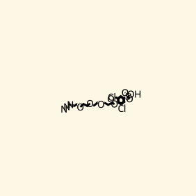 [N-]=[N+]=NCCOCCOCCOCCC(=O)Oc1c(Cl)cc(S(=O)(=O)O)cc1Cl